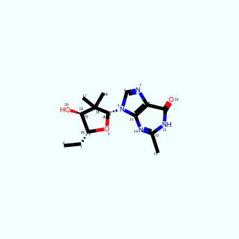 CC[C@H]1O[C@@H](n2cnc3c(=O)[nH]c(C)nc32)C(C)(C)[C@@H]1O